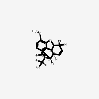 [2H]C1(O)C=C[C@@H]2[C@@]34CCN(C([2H])([2H])[2H])[C@]2([2H])C([2H])([2H])c2ccc(OC)c(c23)OC14